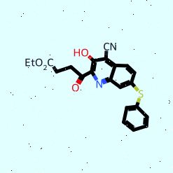 CCOC(=O)CCC(=O)c1nc2cc(Sc3ccccc3)ccc2c(C#N)c1O